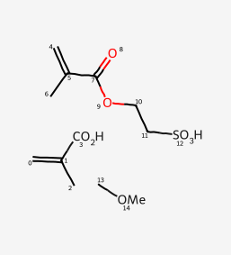 C=C(C)C(=O)O.C=C(C)C(=O)OCCS(=O)(=O)O.COC